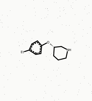 CCc1ccc(O[C@H]2CCCNC2)cc1